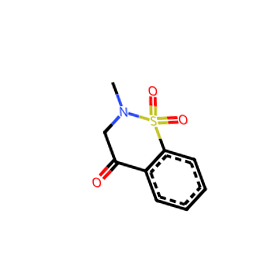 CN1CC(=O)c2ccccc2S1(=O)=O